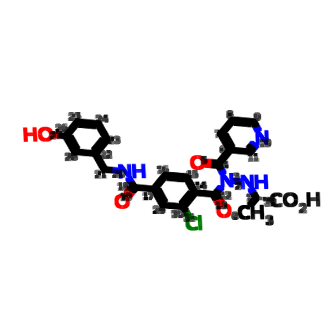 C[C@H](NN(C(=O)c1cccnc1)C(=O)c1ccc(C(=O)NCc2cccc(O)c2)cc1Cl)C(=O)O